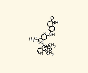 Cc1nn(Cc2cccnc2N(C)S(C)(=O)=O)c2cc(Nc3ccc4c(c3)CCC(=O)N4)ncc12